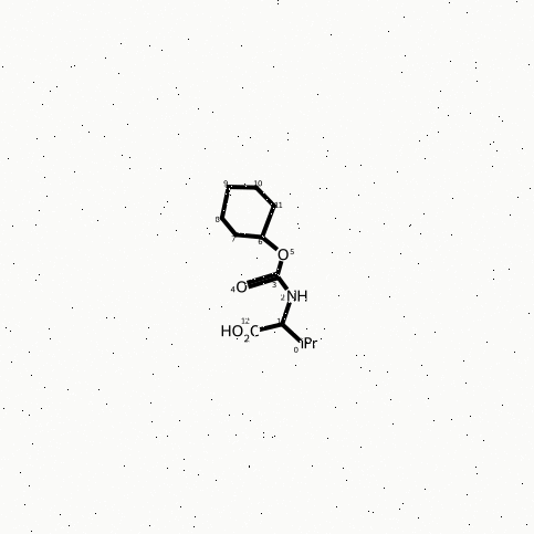 CC(C)C(NC(=O)OC1CCCCC1)C(=O)O